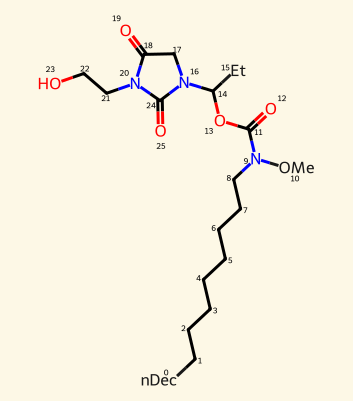 CCCCCCCCCCCCCCCCCCN(OC)C(=O)OC(CC)N1CC(=O)N(CCO)C1=O